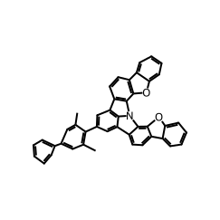 Cc1cc(-c2ccccc2)cc(C)c1-c1cc2c3ccc4c5ccccc5oc4c3n3c2c(c1)c1ccc2c4ccccc4oc2c13